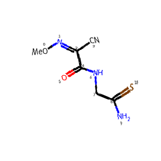 CON=C(C#N)C(=O)NCC(N)=S